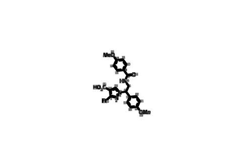 CCc1nn(C(CNC(=O)c2ccc(OC)cc2)c2ccc(OC)cc2)cc1C(=O)O